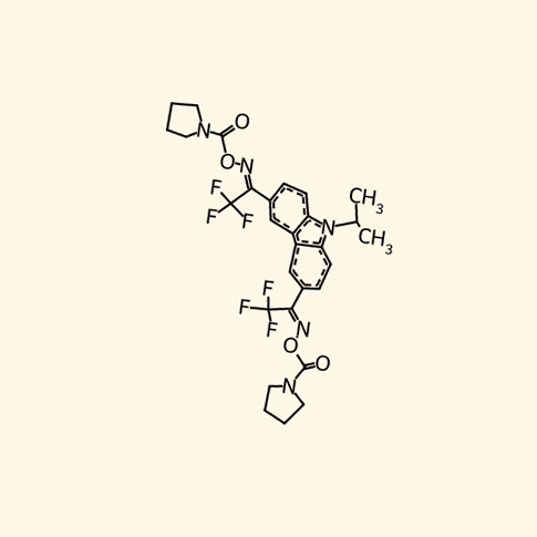 CC(C)n1c2ccc(/C(=N/OC(=O)N3CCCC3)C(F)(F)F)cc2c2cc(/C(=N/OC(=O)N3CCCC3)C(F)(F)F)ccc21